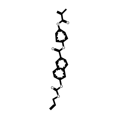 C=CCOC(=O)Oc1ccc2cc(C(=O)Oc3ccc(OC(=O)C(=C)C)cc3)ccc2c1